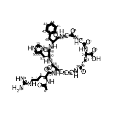 CC(=O)N[C@@H](CCCNC(=N)N)C(=O)NC1CCCNC(=O)CCC(C(=O)O)NC(=O)CNC(=O)CNC(=O)C(Cc2ccccc2)NC(=O)[C@H](Cc2c[nH]cn2)NC1=O